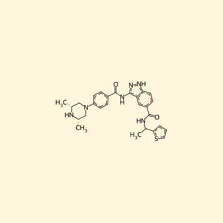 CC(NC(=O)c1ccc2[nH]nc(NC(=O)c3ccc(N4C[C@@H](C)N[C@@H](C)C4)cc3)c2c1)c1cccs1